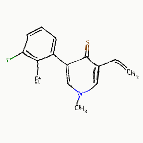 C=Cc1cn(C)cc(-c2cccc(F)c2CC)c1=S